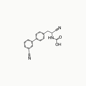 N#Cc1cccc(-c2ccc(CC(C#N)NC(=O)O)cc2)c1